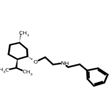 CC(C)[C@H]1CC[C@H](C)C[C@@H]1OCCNCCc1ccccc1